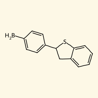 Bc1ccc(C2Cc3ccccc3S2)cc1